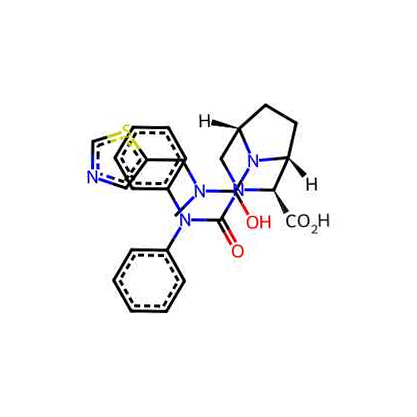 CN(Cc1cncs1)C(O)N1[C@H]2CC[C@@H]1[C@@H](C(=O)O)N(C(=O)N(c1ccccc1)c1ccccc1)C2